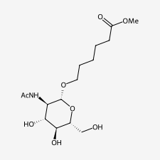 COC(=O)CCCCCO[C@@H]1O[C@H](CO)[C@@H](O)[C@H](O)[C@H]1NC(C)=O